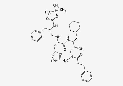 CN(C[C@H](O)[C@H](CC1CCCCC1)NC(=O)[C@H](Cc1c[nH]cn1)NC[C@H](Cc1ccccc1)NC(=O)OC(C)(C)C)C(=O)[CH]Cc1ccccc1